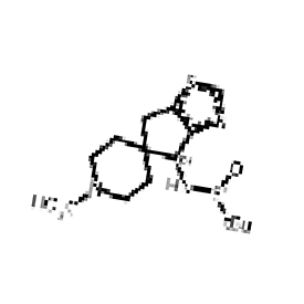 CC(C)(C)[S+]([O-])N[C@@H]1c2ncsc2CC12CCN(C(=O)O)CC2